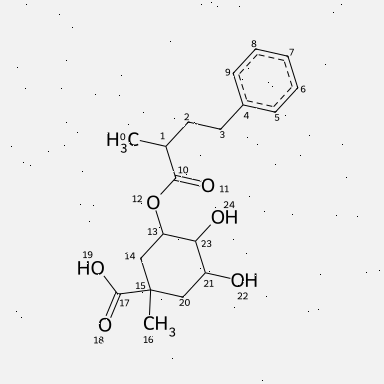 CC(CCc1ccccc1)C(=O)OC1CC(C)(C(=O)O)CC(O)C1O